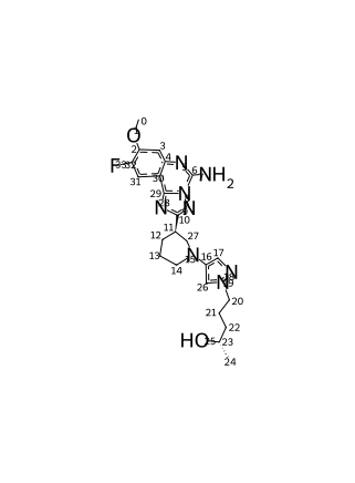 COc1cc2nc(N)n3nc([C@@H]4CCCN(c5cnn(CCC[C@H](C)O)c5)C4)nc3c2cc1F